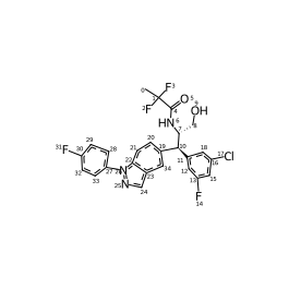 CC(F)(F)C(=O)N[C@H](CO)[C@@H](c1cc(F)cc(Cl)c1)c1ccc2c(cnn2-c2ccc(F)cc2)c1